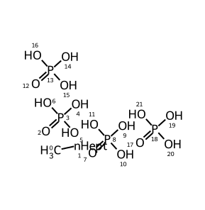 CCCCCCCC.O=P(O)(O)O.O=P(O)(O)O.O=P(O)(O)O.O=P(O)(O)O